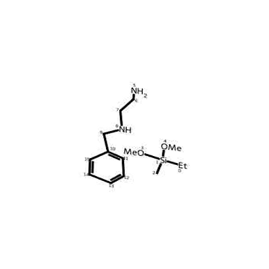 CC[Si](C)(OC)OC.NCCNCc1ccccc1